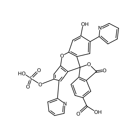 O=C(O)c1ccc2c(c1)C(=O)OC21c2cc(-c3ccccn3)c(O)cc2Oc2cc(OS(=O)(=O)O)c(-c3ccccn3)cc21